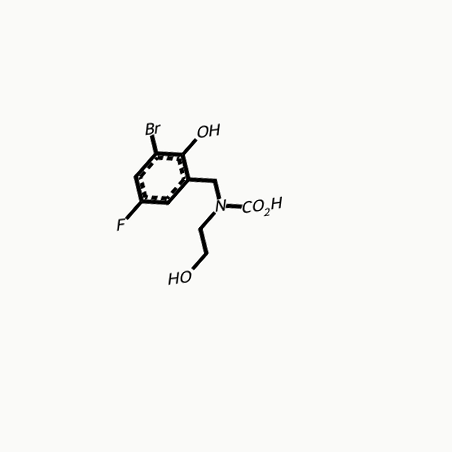 O=C(O)N(CCO)Cc1cc(F)cc(Br)c1O